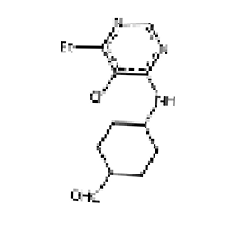 CCc1ncnc(NC2CCC(C=O)CC2)c1Cl